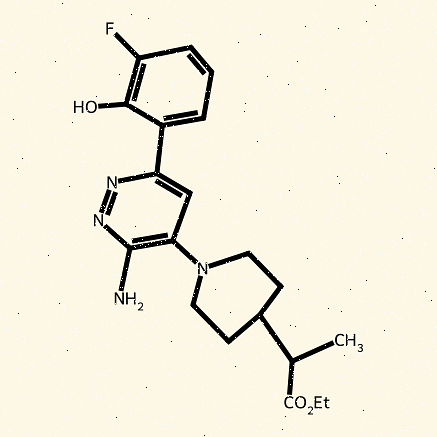 CCOC(=O)C(C)C1CCN(c2cc(-c3cccc(F)c3O)nnc2N)CC1